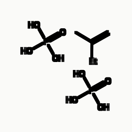 C=C(C)CC.O=P(O)(O)O.O=P(O)(O)O